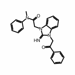 CN(C(=O)Cn1c(=N)n(CC(=O)c2ccccc2)c2ccccc21)c1ccccc1